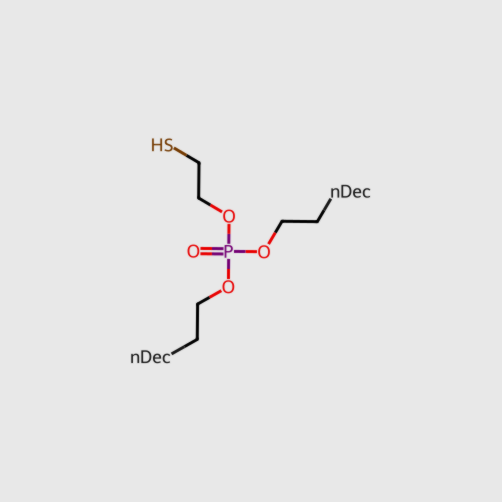 CCCCCCCCCCCCOP(=O)(OCCS)OCCCCCCCCCCCC